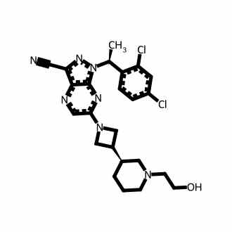 C[C@@H](c1ccc(Cl)cc1Cl)n1nc(C#N)c2ncc(N3CC([C@@H]4CCCN(CCO)C4)C3)nc21